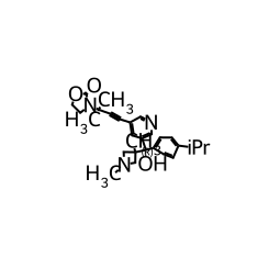 CC(C)c1ccc([C@](O)(c2cncc(C#CC(C)(C)N3CCOC3=O)c2)C2(C)CN(C)C2)cc1